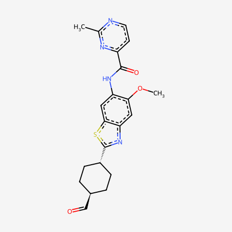 COc1cc2nc([C@H]3CC[C@H](C=O)CC3)sc2cc1NC(=O)c1ccnc(C)n1